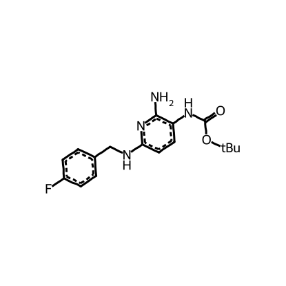 CC(C)(C)OC(=O)Nc1ccc(NCc2ccc(F)cc2)nc1N